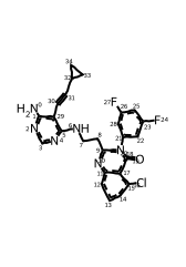 Nc1ncnc(NCCc2nc3cccc(Cl)c3c(=O)n2-c2cc(F)cc(F)c2)c1C#CC1CC1